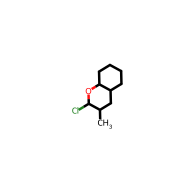 CC1CC2CCCCC2OC1Cl